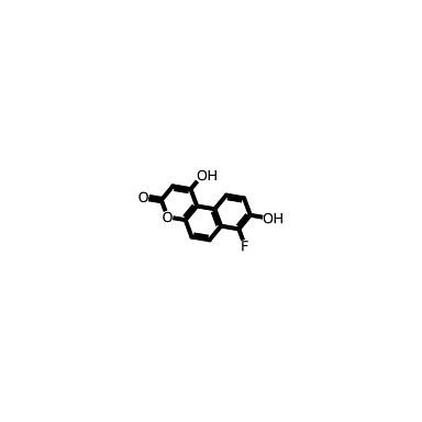 O=c1cc(O)c2c(ccc3c(F)c(O)ccc32)o1